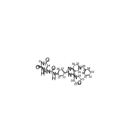 Cn1c(=O)cc(NC(=O)Nc2ccc(-c3nc4c(c(N5CCOCC5)n3)CN(Cc3ccccc3)CC4)cc2)[nH]c1=O